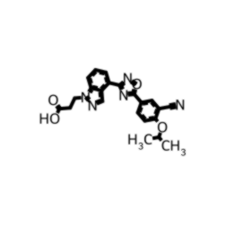 CC(C)Oc1ccc(-c2nc(-c3cccc4c3cnn4CCC(=O)O)no2)cc1C#N